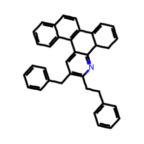 C1=CCC2C(=C1)c1ccc3ccccc3c1-c1cc(Cc3ccccc3)c(CCc3ccccc3)nc12